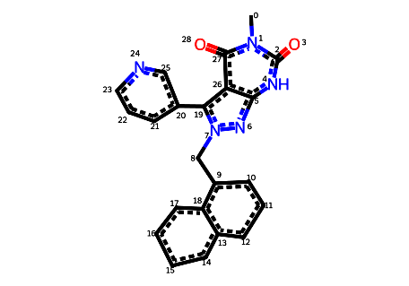 Cn1c(=O)[nH]c2nn(Cc3cccc4ccccc34)c(-c3cccnc3)c2c1=O